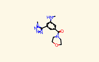 CNc1cc(C(=O)N2CCOCC2)cc(-c2nnnn2C)c1